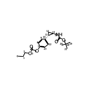 CCCOC(=O)Oc1ccc([C@@H]2C[C@H]2NC(=O)OC(C)(C)C)cc1